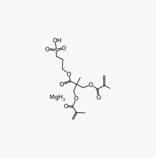 C=C(C)C(=O)OCC(C)(COC(=O)C(=C)C)C(=O)OCCCS(=O)(=O)O.[MgH2]